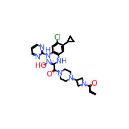 C=CC(=O)N1CC(N2CCN(C(=O)/C(=N\O)Nc3cc(C4CC4)c(Cl)cc3Nc3ncccn3)CC2)C1